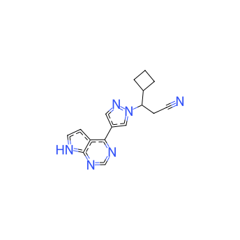 N#CCC(C1CCC1)n1cc(-c2ncnc3[nH]ccc23)cn1